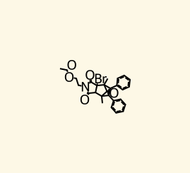 CC(=O)OCCN1C(=O)C2C3(C)C(=O)C(C)(C(c4ccccc4)=C3c3ccccc3)C2(Br)C1=O